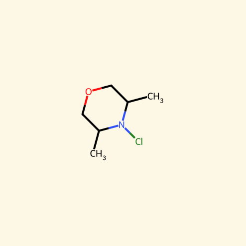 CC1COCC(C)N1Cl